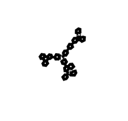 c1ccc(N(c2ccccc2)c2ccc(-c3ccc(N(c4ccc(-c5ccc(-c6ccc7c(c6)c6ccccc6n7-c6ccccc6)cc5)cc4)c4ccc(-c5ccc6c7ccccc7c7ccccc7c6c5)cc4)cc3)c3ccccc23)cc1